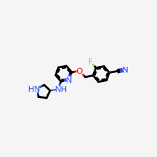 N#Cc1ccc(COc2cccc(N[C@H]3CCNC3)n2)c(F)c1